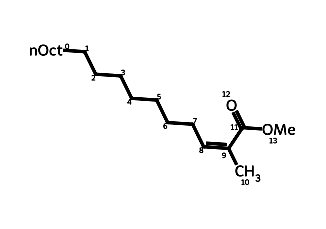 CCCCCCCCCCCCCCCC=C(C)C(=O)OC